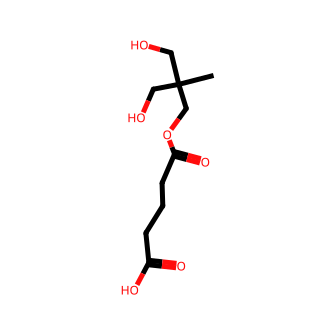 CC(CO)(CO)COC(=O)CCCC(=O)O